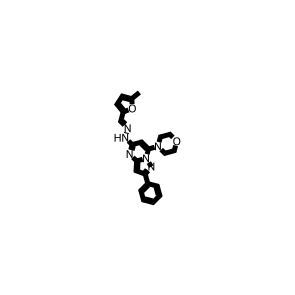 Cc1ccc(C=NNc2cc(N3CCOCC3)n3nc(-c4ccccc4)cc3n2)o1